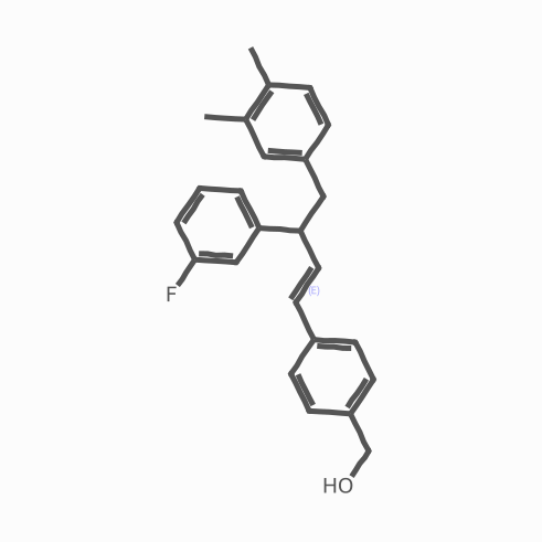 Cc1ccc(CC(/C=C/c2ccc(CO)cc2)c2cccc(F)c2)cc1C